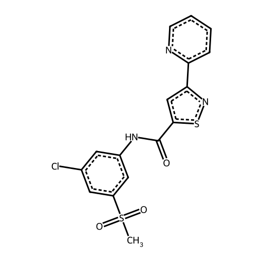 CS(=O)(=O)c1cc(Cl)cc(NC(=O)c2cc(-c3ccccn3)ns2)c1